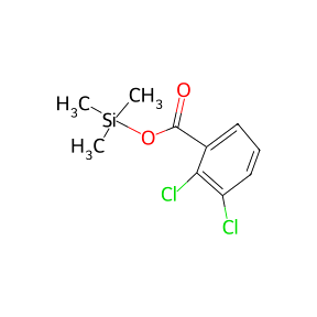 C[Si](C)(C)OC(=O)c1cccc(Cl)c1Cl